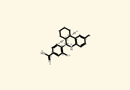 Cc1ccc2c(c1)[C@@H]1CCCC[C@@H]1[C@H](c1ccc(C(=O)O)cc1F)N2